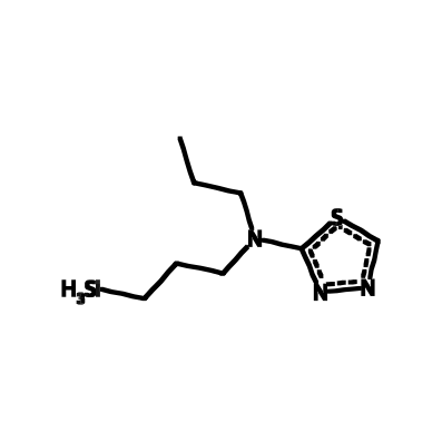 CCCN(CCC[SiH3])c1nncs1